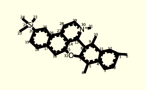 Cc1ccc2c(C)c3c(c(C)c2c1)-c1c2c(cc4ccc([Si](C)(C)C)cc4c2cc[n+]1C)O3